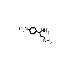 NCCC(N)c1ccc([N+](=O)[O-])cc1